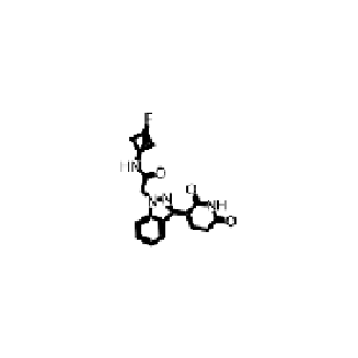 O=C1CCC(c2nn(CC(=O)NC34CC(F)(C3)C4)c3ccccc23)C(=O)N1